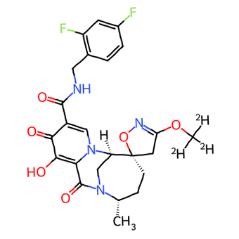 [2H]C([2H])([2H])OC1=NO[C@@]2(CC[C@H](C)N3C[C@H]2n2cc(C(=O)NCc4ccc(F)cc4F)c(=O)c(O)c2C3=O)C1